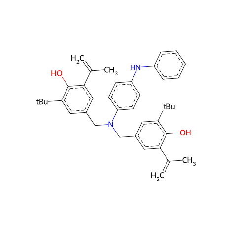 C=C(C)c1cc(CN(Cc2cc(C(=C)C)c(O)c(C(C)(C)C)c2)c2ccc(Nc3ccccc3)cc2)cc(C(C)(C)C)c1O